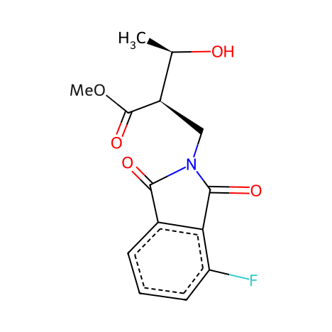 COC(=O)[C@H](CN1C(=O)c2cccc(F)c2C1=O)[C@@H](C)O